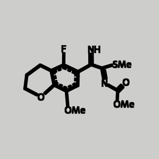 COC(=O)N=C(SC)C(=N)c1cc(OC)c2c(c1F)CCCO2